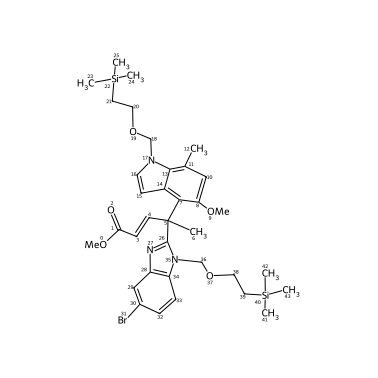 COC(=O)/C=C/C(C)(c1c(OC)cc(C)c2c1ccn2COCC[Si](C)(C)C)c1nc2cc(Br)ccc2n1COCC[Si](C)(C)C